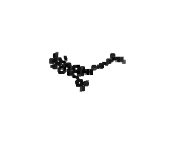 CC[C@H](C(=O)N1CCCC[C@H]1C(=O)O[C@H](CCc1ccc(OC)c(OC)c1)c1ccccc1OCC(=O)NCCOCCOCCOCC(N)=O)c1cc(OC)c(OC)c(OC)c1